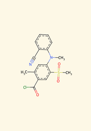 Cc1cc(N(C)c2ccccc2C#N)c(S(C)(=O)=O)cc1C(=O)Cl